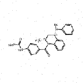 CNC(=O)Nc1ccc(C(=O)N2c3ccccc3[C@@H](N(C(C)=O)c3ccccc3)C[C@H]2C)cc1